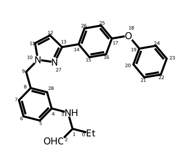 CCC(C=O)Nc1cccc(Cn2ccc(-c3ccc(Oc4ccccc4)cc3)n2)c1